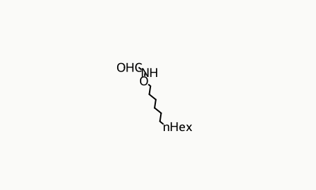 CCCCCCCCCCCCON[C]=O